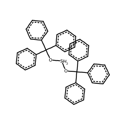 c1ccc(C(O[SiH2]OC(c2ccccc2)(c2ccccc2)c2ccccc2)(c2ccccc2)c2ccccc2)cc1